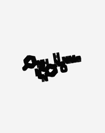 CNC(=O)Nc1ccc2ncnc(Nc3cccc(C)c3)c2c1